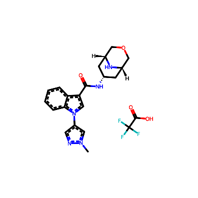 Cn1cc(-n2cc(C(=O)N[C@H]3C[C@H]4COC[C@@H](C3)N4)c3ccccc32)cn1.O=C(O)C(F)(F)F